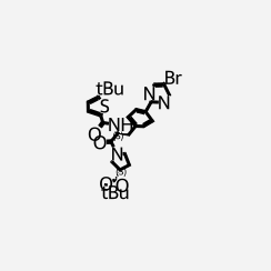 CC(C)(C)OC(=O)[C@H]1CCN(C(=O)[C@H](Cc2ccc(-c3ncc(Br)cn3)cc2)NC(=O)c2ccc(C(C)(C)C)s2)C1